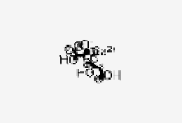 O=C(O)CC(O)C(=O)OC(C(=O)[O-])C(O)C(=O)[O-].[Ca+2]